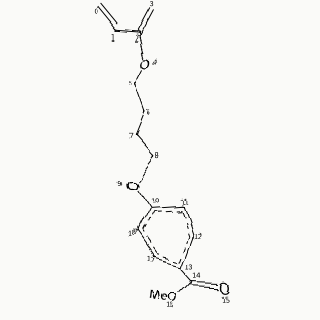 C=CC(=C)OCCCCOc1ccc(C(=O)OC)cc1